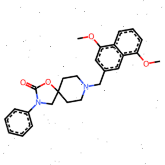 COc1cc(CN2CCC3(CC2)CN(c2ccccc2)C(=O)O3)cc2c(OC)cccc12